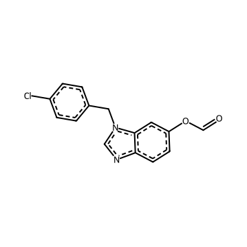 O=COc1ccc2ncn(Cc3ccc(Cl)cc3)c2c1